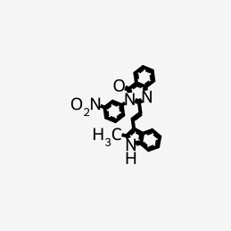 Cc1[nH]c2ccccc2c1C=Cc1nc2ccccc2c(=O)n1-c1cccc([N+](=O)[O-])c1